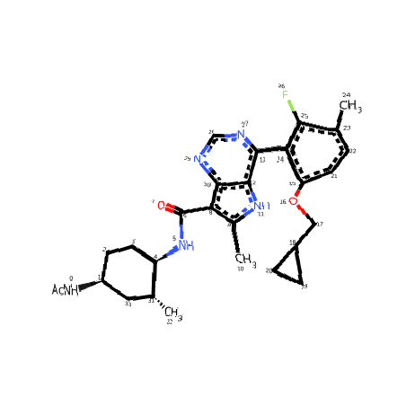 CC(=O)N[C@H]1CC[C@@H](NC(=O)c2c(C)[nH]c3c(-c4c(OCC5CC5)ccc(C)c4F)ncnc23)[C@H](C)C1